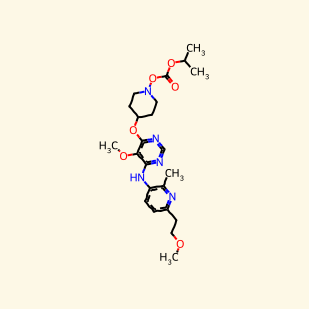 COCCc1ccc(Nc2ncnc(OC3CCN(OC(=O)OC(C)C)CC3)c2OC)c(C)n1